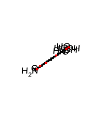 C[C@@H](O)[C@@H](O)[C@H](O)[C@@H](O)C(=O)NCCCCCCCCCCCCCCCCCCCCCCCC(N)=O